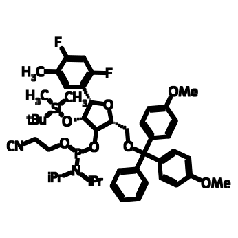 [C-]#[N+]CCOP(OC1[C@@H](COC(c2ccccc2)(c2ccc(OC)cc2)c2ccc(OC)cc2)O[C@@H](c2cc(C)c(F)cc2F)[C@H]1O[Si](C)(C)C(C)(C)C)N(C(C)C)C(C)C